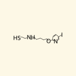 SCCNCCCCCCOc1ccc(I)cn1